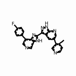 Cc1ccncc1-c1cnc2[nH]nc(-c3nc4c(-c5ccc(F)cc5)cncc4[nH]3)c2c1